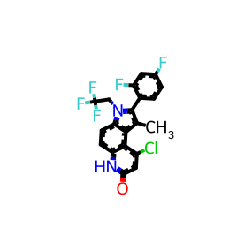 Cc1c(-c2ccc(F)cc2F)n(CC(F)(F)F)c2ccc3[nH]c(=O)cc(Cl)c3c12